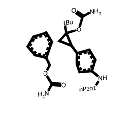 CCCCCNc1ccc(C2CC2(OC(N)=O)C(C)(C)C)cc1.NC(=O)OCc1ccccc1